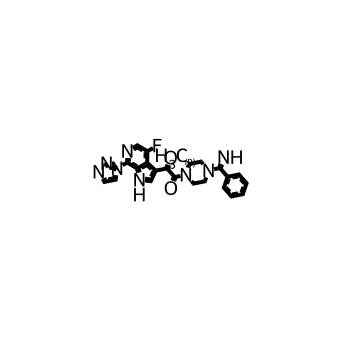 C[C@@H]1CN(C(=N)c2ccccc2)CCN1C(=O)C(=O)c1c[nH]c2c(-n3ccnn3)ncc(F)c12